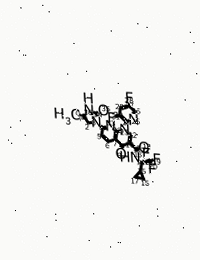 C[C@@H]1CN(c2ccc3c(=O)c(C(=O)NC(C4CC4)C(F)(F)F)cn(-c4ncc(F)cc4F)c3n2)C(=O)N1